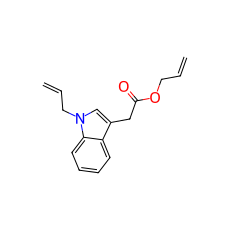 C=CCOC(=O)Cc1cn(CC=C)c2ccccc12